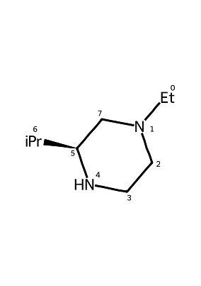 CCN1CCN[C@@H](C(C)C)C1